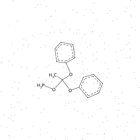 CC(OP)(Oc1ccccc1)Oc1ccccc1